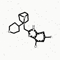 Fc1cc(Cl)c2nc(CN3CC4CC(C3)N4CC3CCOCC3)[nH]c2c1